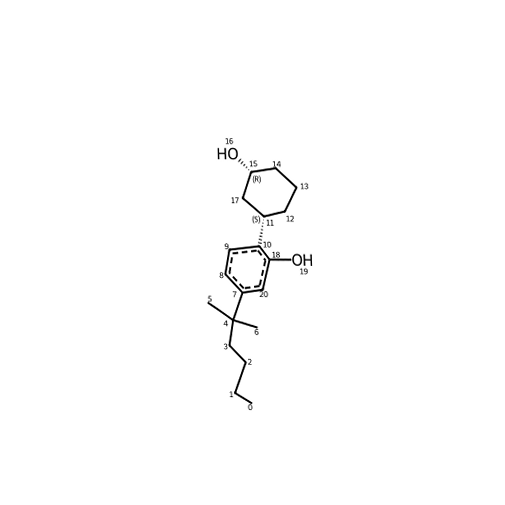 CCCCC(C)(C)c1ccc([C@H]2CCC[C@@H](O)C2)c(O)c1